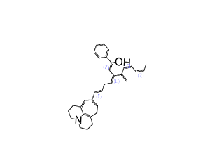 C=C(/C=C\C=C/C)C(/C=C(\O)c1ccccc1)=C/C/C=C/C1=CCC2=C3C(=C1)CCCN3CCC2